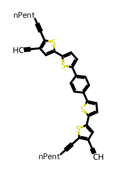 C#Cc1cc(-c2ccc(-c3ccc(-c4ccc(-c5cc(C#C)c(C#CCCCCC)s5)s4)cc3)s2)sc1C#CCCCCC